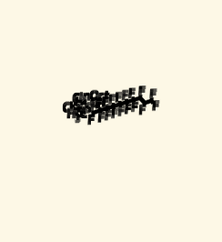 CCCCCCCCC([Si](Cl)(Cl)Cl)[Si](C)(C)C(F)C(F)(F)C(F)(F)C(F)(F)C(F)(F)C(F)(F)C(F)(F)C(F)C(F)C(F)F